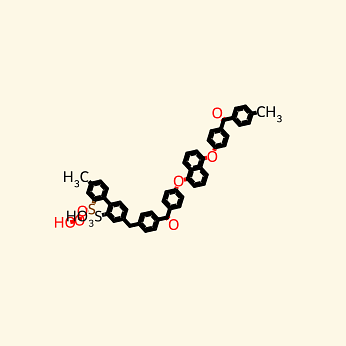 Cc1ccc(C(=O)c2ccc(Oc3cccc4c(Oc5ccc(C(=O)c6ccc(Cc7ccc(-c8ccc(C)cc8SOOO)c(S(=O)(=O)O)c7)cc6)cc5)cccc34)cc2)cc1